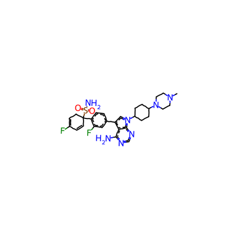 CN1CCN(C2CCC(n3cc(-c4ccc(C5(S(N)(=O)=O)C=CC(F)=CC5)c(F)c4)c4c(N)ncnc43)CC2)CC1